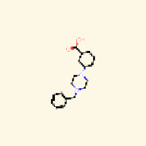 O=C(O)C1CCC[C@@H](N2CCN(Cc3ccccc3)CC2)C1